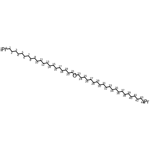 CC(C)CCCCCCCCCCCCCCCCCCCCCOCCCCCCCCCCCCCCCCCCCCCC(C)C